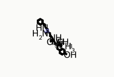 CN(C)[C@H](CNC(=O)NCC/C(N)=C/NCc1ccccc1)Cc1ccc(O)cc1